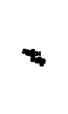 CN(C)c1ccc(N(/C=C/C(=O)c2ccc([N+](=O)[O-])nc2)C(=O)O)cc1